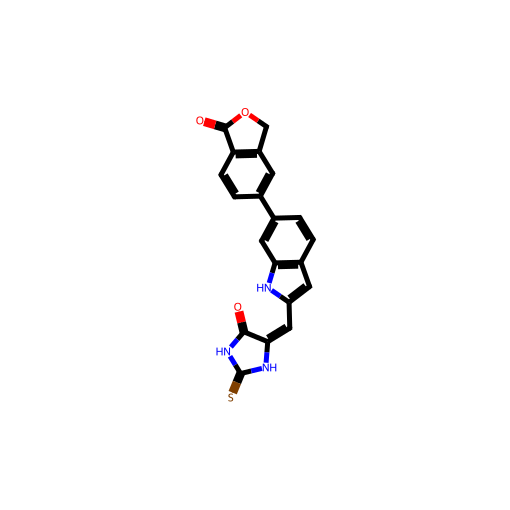 O=C1NC(=S)NC1=Cc1cc2ccc(-c3ccc4c(c3)COC4=O)cc2[nH]1